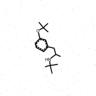 CC(Cc1cccc(OC(C)(C)C)c1)NC(C)(C)C